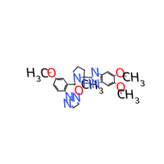 COc1ccc(-n2nccn2)c(C(=O)N2CCCC2(C)c2nc3cc(OC)c(OC)cc3[nH]2)c1